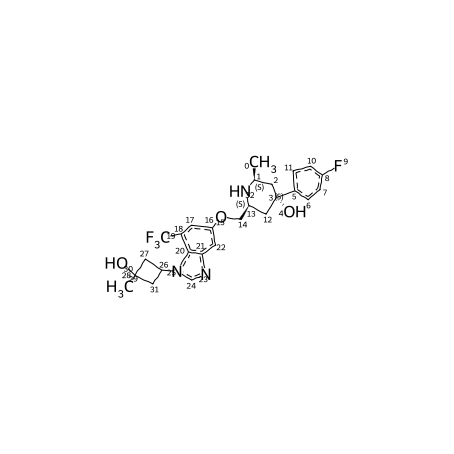 C[C@H]1C[C@@](O)(c2ccc(F)cc2)C[C@@H](COc2cc(C(F)(F)F)c3c(c2)ncn3C2CC(C)(O)C2)N1